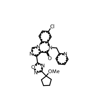 COC1(c2noc(-c3ncn4c3c(=O)n(Cc3ccccn3)c3cc(Cl)ccc34)n2)CCCC1